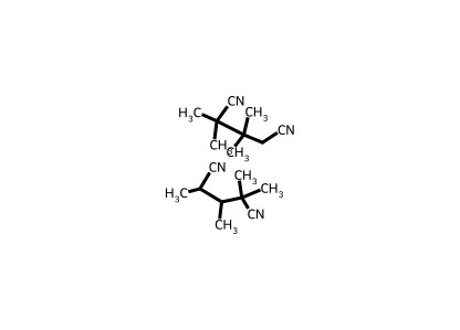 CC(C#N)C(C)C(C)(C)C#N.CC(C)(C#N)C(C)(C)CC#N